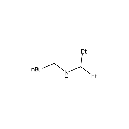 CCCCCNC(CC)CC